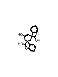 O=C(O)C1(c2ccccc2)C=C(O)CC(C(=O)O)(c2ccccc2)C1